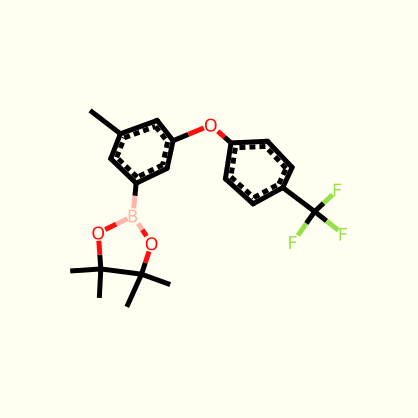 Cc1cc(Oc2ccc(C(F)(F)F)cc2)cc(B2OC(C)(C)C(C)(C)O2)c1